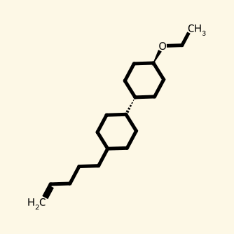 C=CCCCC1CCC([C@H]2CC[C@H](OCC)CC2)CC1